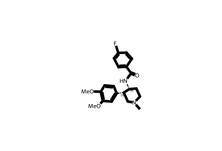 COc1ccc([C@H]2CN(C)CC[C@H]2NC(=O)c2ccc(F)cc2)cc1OC